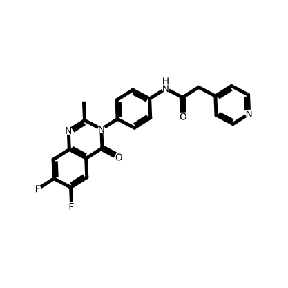 Cc1nc2cc(F)c(F)cc2c(=O)n1-c1ccc(NC(=O)Cc2ccncc2)cc1